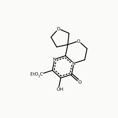 CCOC(=O)c1nc2n(c(=O)c1O)CCOC21CCOC1